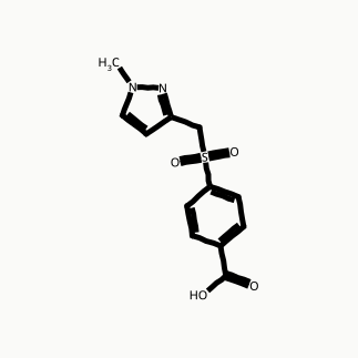 Cn1ccc(CS(=O)(=O)c2ccc(C(=O)O)cc2)n1